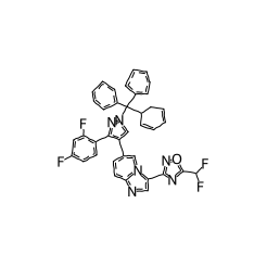 Fc1ccc(-c2nn(C(c3ccccc3)(c3ccccc3)C3C=CC=CC3)cc2-c2ccc3ncc(-c4noc(C(F)F)n4)n3c2)c(F)c1